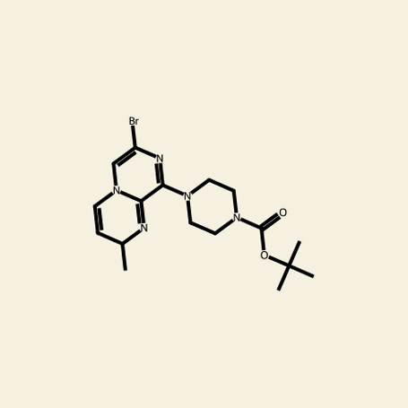 CC1C=CN2C=C(Br)N=C(N3CCN(C(=O)OC(C)(C)C)CC3)C2=N1